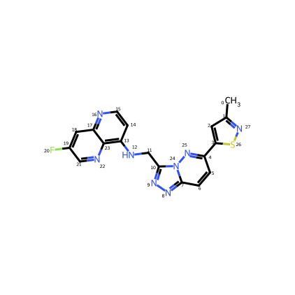 Cc1cc(-c2ccc3nnc(CNc4ccnc5cc(F)cnc45)n3n2)sn1